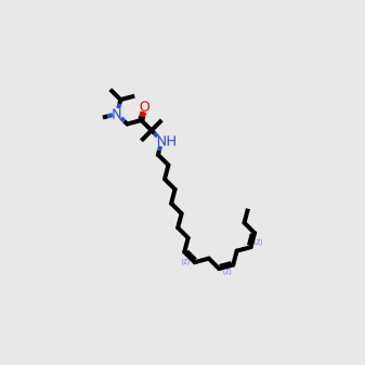 CC/C=C\C/C=C\C/C=C\CCCCCCCCNC(C)(C)C(=O)CN(C)C(C)C